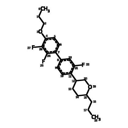 CCCOc1ccc(-c2ccc(C3CCC(CCC)OC3)c(F)c2)c(F)c1F